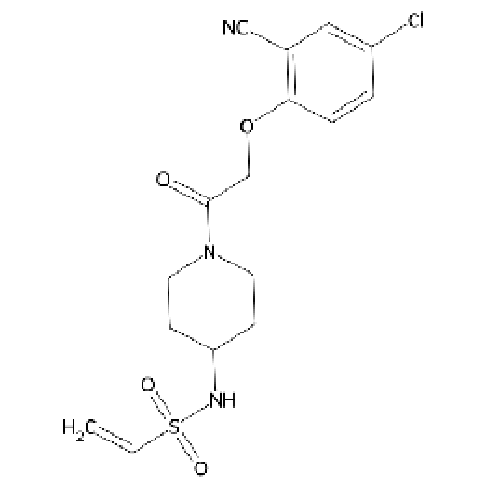 C=CS(=O)(=O)NC1CCN(C(=O)COc2ccc(Cl)cc2C#N)CC1